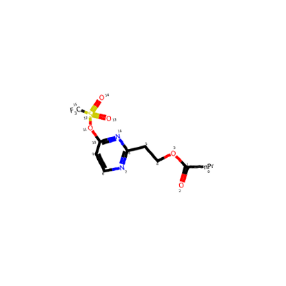 CCCC(=O)OCCc1nccc(OS(=O)(=O)C(F)(F)F)n1